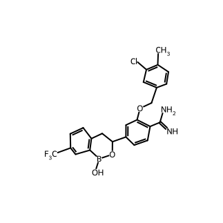 Cc1ccc(COc2cc(C3Cc4ccc(C(F)(F)F)cc4B(O)O3)ccc2C(=N)N)cc1Cl